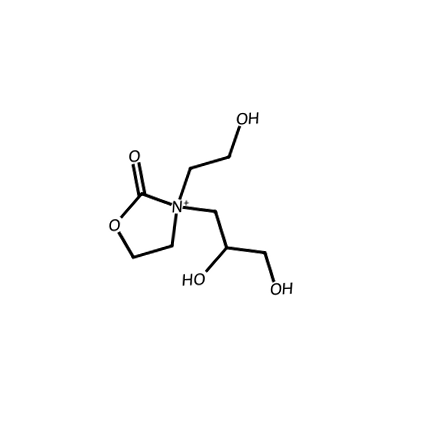 O=C1OCC[N+]1(CCO)CC(O)CO